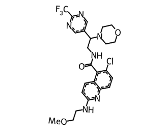 COCCNc1ccc2c(C(=O)NCC(c3cnc(C(F)(F)F)nc3)N3CCOCC3)c(Cl)ccc2n1